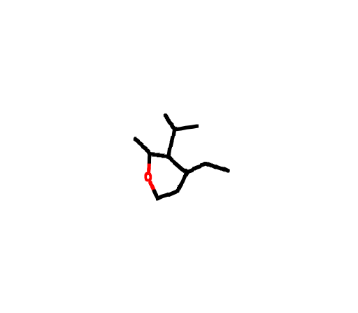 CCC1CCOC(C)C1C(C)C